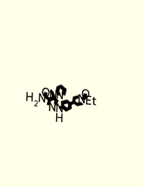 CCC(=O)N1CCC(c2ccc(Nc3cc(N(C)c4ccccn4)c(C(N)=O)cn3)cc2)CC1